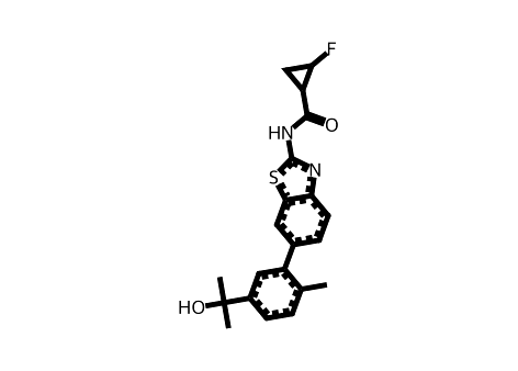 Cc1ccc(C(C)(C)O)cc1-c1ccc2nc(NC(=O)C3CC3F)sc2c1